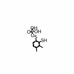 Cc1ccc(SOP(=O)(O)O)c(S)c1C